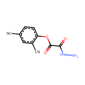 N#Cc1ccc(OC(=O)C(=O)NN)c(C#N)c1